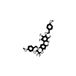 COc1ccc(COc2c(F)c(F)c(-c3cc4c(cc3F)OC(F)(F)C(=O)N4Cc3ccc(OC)cc3)c(F)c2F)cc1